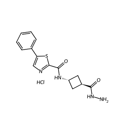 Cl.NNC(=O)[C@H]1C[C@H](NC(=O)c2ncc(-c3ccccc3)s2)C1